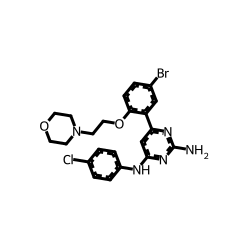 Nc1nc(Nc2ccc(Cl)cc2)cc(-c2cc(Br)ccc2OCCN2CCOCC2)n1